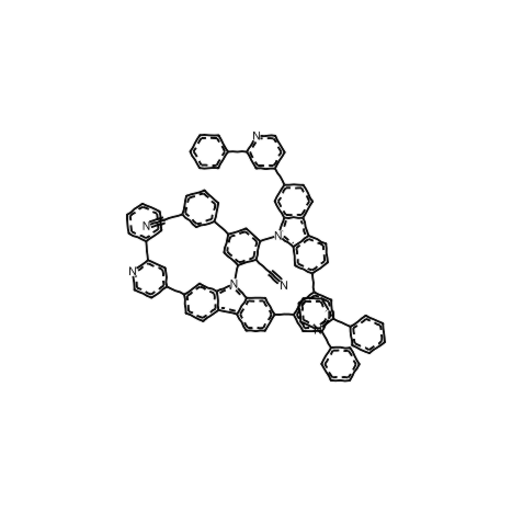 N#Cc1cccc(-c2cc(-n3c4cc(-c5ccnc(-c6ccccc6)c5)ccc4c4ccc(-c5ccnc(-c6ccccc6)c5)cc43)c(C#N)c(-n3c4cc(-c5ccnc(-c6ccccc6)c5)ccc4c4ccc(-c5ccnc(-c6ccccc6)c5)cc43)c2)c1